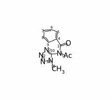 CC(=O)N(C(=O)c1ccccc1)c1nnnn1C